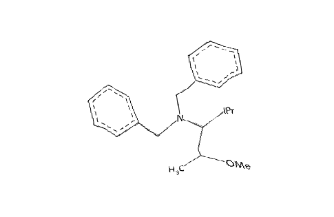 COC(C)C(C(C)C)N(Cc1ccccc1)Cc1ccccc1